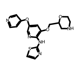 c1cc(Oc2cnc(Nc3nccs3)c(OCC3CNCCO3)c2)ccn1